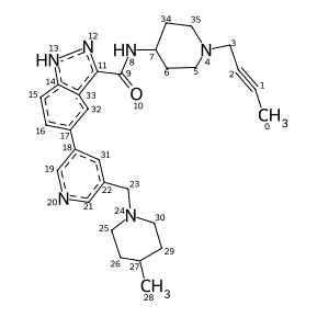 CC#CCN1CCC(NC(=O)c2n[nH]c3ccc(-c4cncc(CN5CCC(C)CC5)c4)cc23)CC1